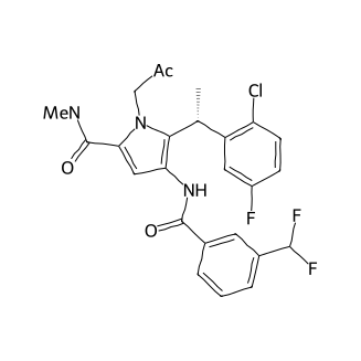 CNC(=O)c1cc(NC(=O)c2cccc(C(F)F)c2)c([C@H](C)c2cc(F)ccc2Cl)n1CC(C)=O